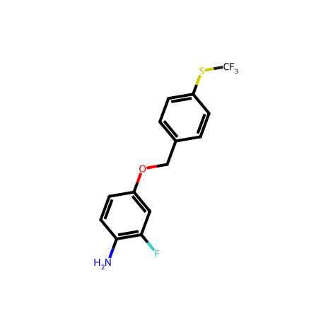 Nc1ccc(OCc2ccc(SC(F)(F)F)cc2)cc1F